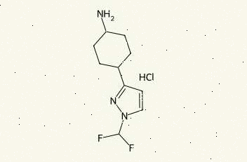 Cl.NC1CCC(c2ccn(C(F)F)n2)CC1